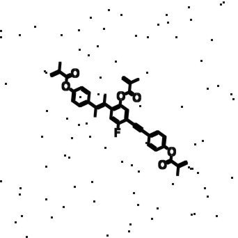 C=C(C)C(=O)Oc1ccc(C#Cc2cc(OC(=O)C(=C)C)c(/C(C)=C(\C)c3ccc(OC(=O)C(=C)C)cc3)cc2F)cc1